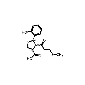 CSCCC(=O)N1[C@@H](c2ccccc2O)SC[C@H]1C(=O)O